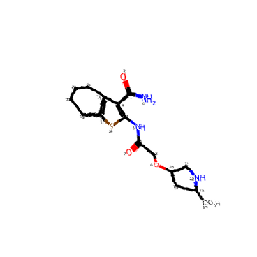 NC(=O)c1c(NC(=O)COC2CNC(C(=O)O)C2)sc2c1CCCC2